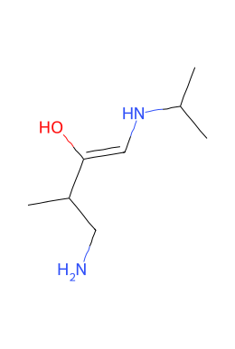 CC(C)N/C=C(\O)C(C)CN